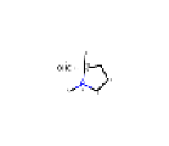 C[N+]1CCC[C@@]1(C)C=O